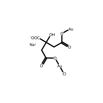 O=C(CC(O)(CC(=O)[O][Au][Cl])C(=O)[O-])[O][Au].[Na+]